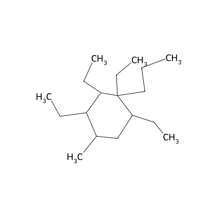 CCCC1(CC)C(CC)CC(C)C(CC)C1CC